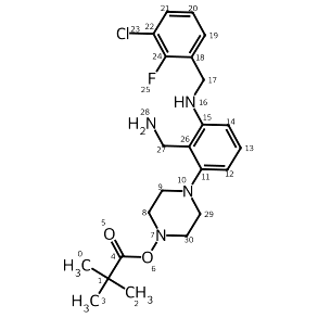 CC(C)(C)C(=O)ON1CCN(c2cccc(NCc3cccc(Cl)c3F)c2CN)CC1